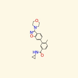 Cc1ccc(C(=O)NC2CC2)cc1-c1ccc2c(N3CCOCC3)noc2c1